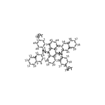 CC(C)c1ccc(N(c2ccc3ccccc3c2)c2c3ccccc3c(N(c3ccc(C(C)C)cc3)c3ccc4ccccc4c3)c3ccccc23)cc1